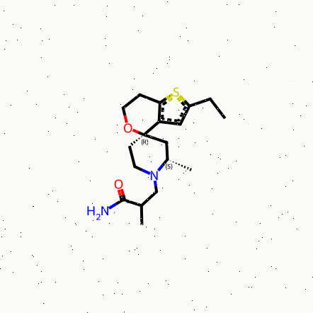 CCc1cc2c(s1)CCO[C@@]21CCN(CC(C)C(N)=O)[C@@H](C)C1